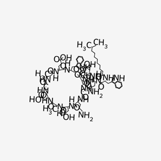 CCC(C)CCCCCCCCC(=O)NC(Cc1c[nH]c2ccccc12)C(=O)NC(CC(N)=O)C(=O)NC(CC(=O)O)C(=O)NC1C(=O)NCC(=O)NC(CCCN)C(=O)NC(CC(=O)O)C(=O)NC(C)C(=O)NC(CC(=O)O)C(=O)NCC(=O)NC(C)C(=O)NC(CCC(=O)O)C(=O)NC(Cc2c[nH]c3ccccc23)C(=O)OC1C